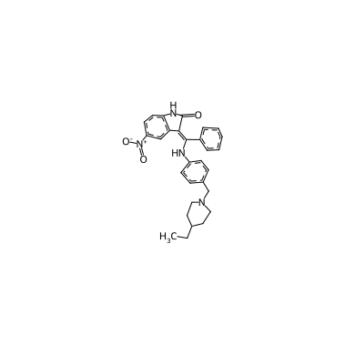 CCC1CCN(Cc2ccc(NC(=C3C(=O)Nc4ccc([N+](=O)[O-])cc43)c3ccccc3)cc2)CC1